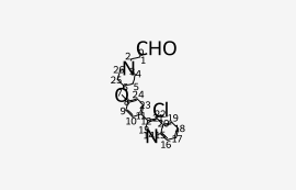 O=CCCN1CCC(Oc2ccc(-c3cnc4ccccc4c3Cl)cc2)CC1